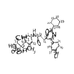 CCC(CC)(c1ccc(NC(=O)CCc2oc(C3CCCCC3)nc2-c2ccc(Cl)cc2)cc1)P(=O)(O)O